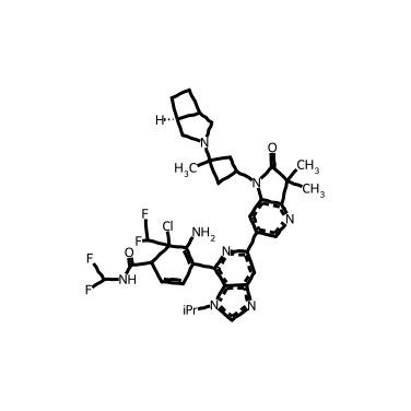 CC(C)n1cnc2cc(-c3cnc4c(c3)N(C3CC(C)(N5CC6CC[C@@H]6C5)C3)C(=O)C4(C)C)nc(C3=C(N)C(Cl)(C(F)F)C(C(=O)NC(F)F)C=C3)c21